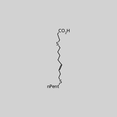 CCCCCSCC/C=C/CCCCSCCC(=O)O